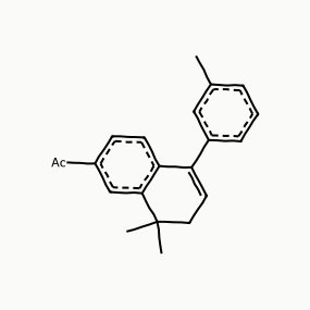 CC(=O)c1ccc2c(c1)C(C)(C)CC=C2c1cccc(C)c1